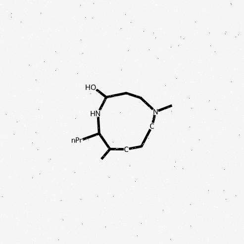 CCCC1NC(O)CCN(C)CCCC1C